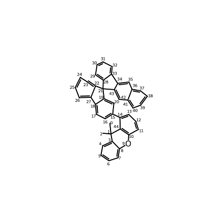 CC1(C)c2ccccc2Oc2cccc(-c3ccc4c(c3)C3(c5ccccc5-4)c4ccccc4-c4cc5ccccc5cc43)c21